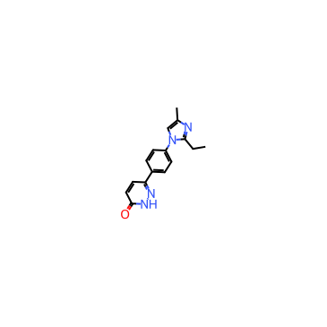 CCc1nc(C)cn1-c1ccc(-c2ccc(=O)[nH]n2)cc1